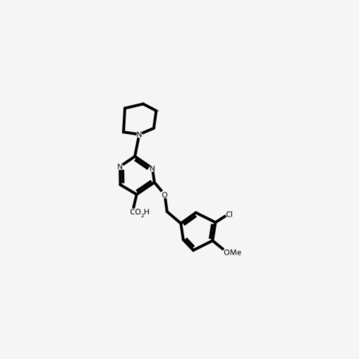 COc1ccc(COc2nc(N3C[CH]CCC3)ncc2C(=O)O)cc1Cl